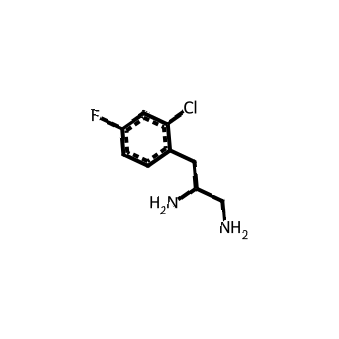 NCC(N)Cc1ccc(F)cc1Cl